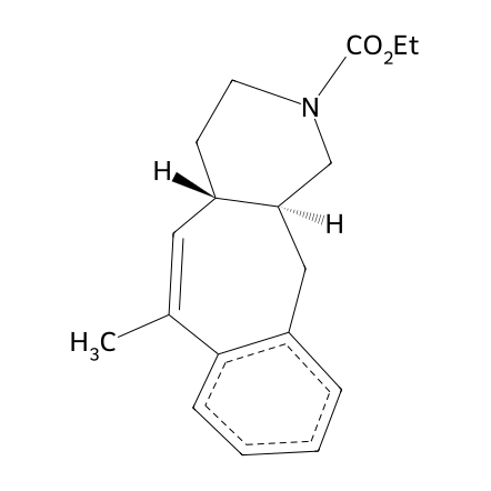 CCOC(=O)N1CC[C@H]2C=C(C)c3ccccc3C[C@@H]2C1